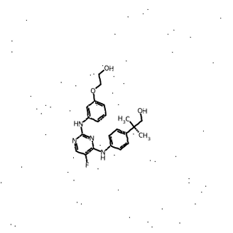 CC(C)(CO)c1ccc(Nc2nc(Nc3cccc(OCCO)c3)ncc2F)cc1